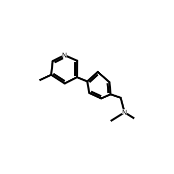 Cc1cncc(-c2ccc(CN(C)C)cc2)c1